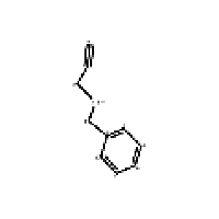 C#CCOCc1cc[c]cc1